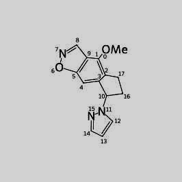 COc1c2c(cc3oncc13)C(n1cccn1)CC2